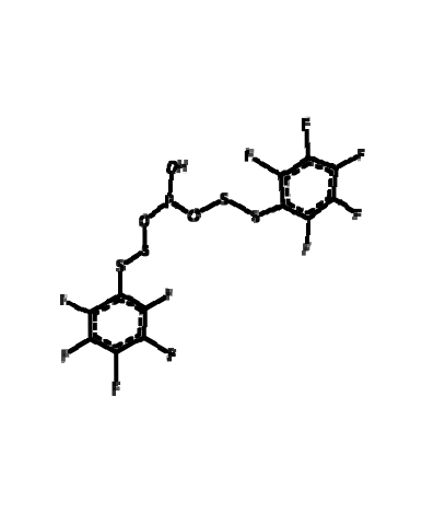 OP(OSSc1c(F)c(F)c(F)c(F)c1F)OSSc1c(F)c(F)c(F)c(F)c1F